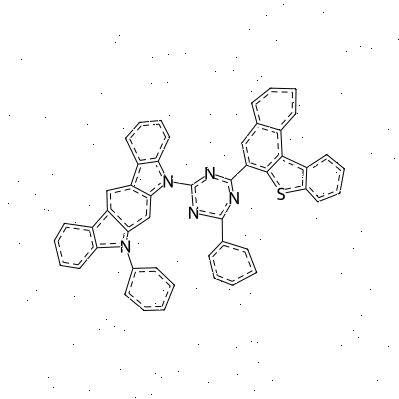 c1ccc(-c2nc(-c3cc4ccccc4c4c3sc3ccccc34)nc(-n3c4ccccc4c4cc5c6ccccc6n(-c6ccccc6)c5cc43)n2)cc1